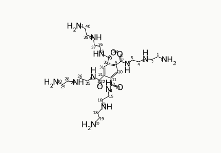 NCCNCCNC(=O)c1cc(C(=O)NCCNCCN)c(C(=O)NCCNCCN)cc1C(=O)NCCNCCN